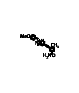 COc1ccc(Cn2ncc3cc(C#Cc4cc(C(N)=O)ccc4C)cnc32)cc1